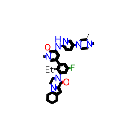 CCc1c(-c2cc(Nc3ccc(N4CCN(C)[C@@H](C)C4)cn3)c(=O)n(C)c2)cc(F)cc1N1CCn2c(cc3c2CCCC3)C1=O